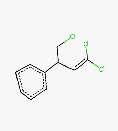 ClCC(C=C(Cl)Cl)c1ccccc1